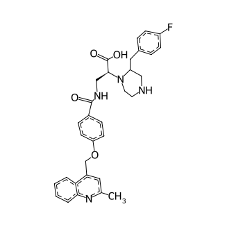 Cc1cc(COc2ccc(C(=O)NC[C@@H](C(=O)O)N3CCNCC3Cc3ccc(F)cc3)cc2)c2ccccc2n1